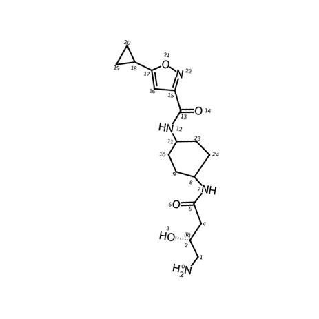 NC[C@H](O)CC(=O)NC1CCC(NC(=O)c2cc(C3CC3)on2)CC1